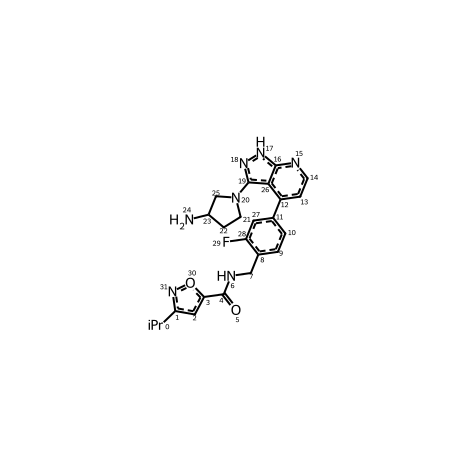 CC(C)c1cc(C(=O)NCc2ccc(-c3ccnc4[nH]nc(N5CCC(N)C5)c34)cc2F)on1